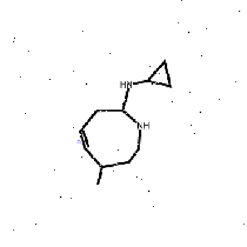 CC1/C=C\CC(NC2CC2)NCC1